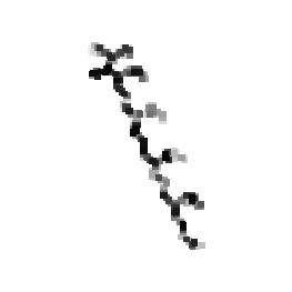 CC(=O)CC/C=C(\C)CC/C=C(\C)CC/C=C(\C)CC/C=C(\C)C(=O)N(C(C)C)C(C)C